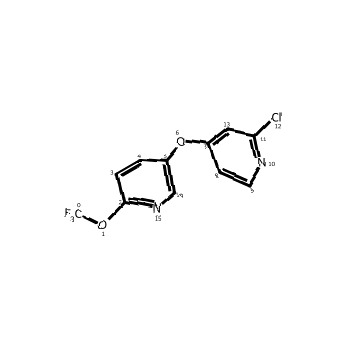 FC(F)(F)Oc1ccc(Oc2ccnc(Cl)c2)cn1